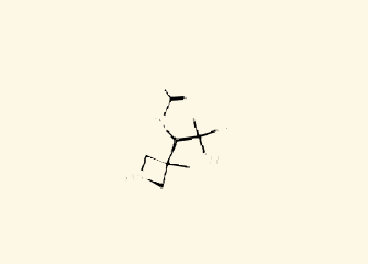 CC(C)(C)C(NC(=O)O)C1(F)CNC1